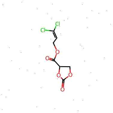 O=C1OCC(C(=O)OCC=C(Cl)Cl)O1